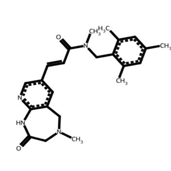 Cc1cc(C)c(CN(C)C(=O)C=Cc2cnc3c(c2)CN(C)CC(=O)N3)c(C)c1